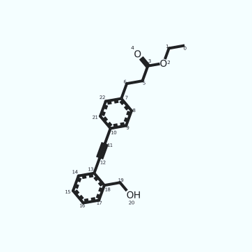 CCOC(=O)CCc1ccc(C#Cc2ccccc2CO)cc1